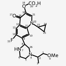 COCC(C)N1CCNC(c2cc3c(cc2F)c(=O)c(OC(=O)O)cn3C2CC2)C1